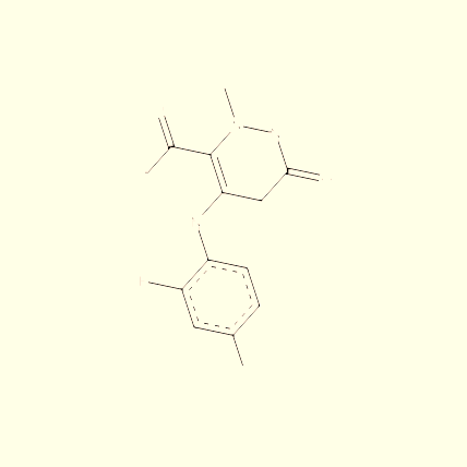 CN1NC(=O)CC(Nc2ccc(I)cc2F)=C1C(=O)Cl